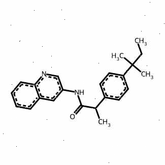 CCC(C)(C)c1ccc(C(C)C(=O)Nc2cnc3ccccc3c2)cc1